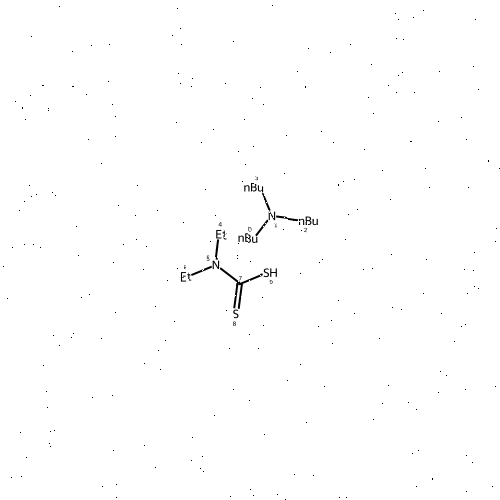 CCCCN(CCCC)CCCC.CCN(CC)C(=S)S